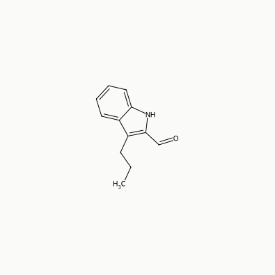 CCCc1c(C=O)[nH]c2ccccc12